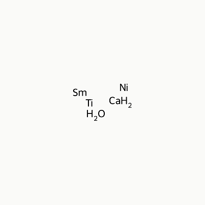 O.[CaH2].[Ni].[Sm].[Ti]